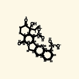 CC[C@@]1(O)C(=O)CCc2c1c([N+](=O)[O-])c1n(c2=O)Cc2cc3cccc([N+](=O)[O-])c3nc2-1